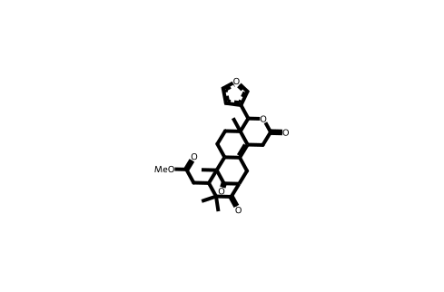 COC(=O)CC1C(C)(C)C(=O)C2CC3=C4CC(=O)OC(c5ccoc5)C4(C)CCC3C1(C)C2=O